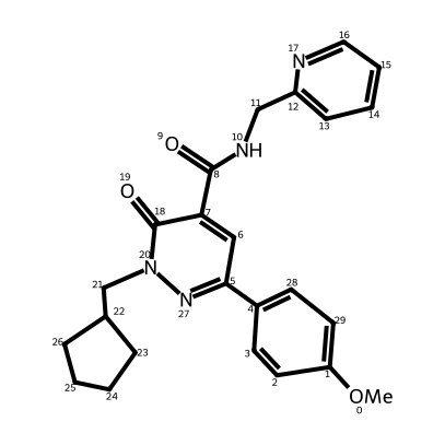 COc1ccc(-c2cc(C(=O)NCc3ccccn3)c(=O)n(CC3CCCC3)n2)cc1